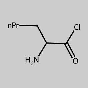 CCCCC(N)C(=O)Cl